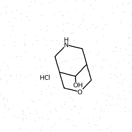 Cl.OC1C2CNCC1COC2